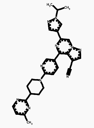 Cc1ccnc(C2CCN(c3ccc(-c4nc(-c5cnn(C(C)C)c5)cn5ncc(C#N)c45)cn3)CC2)n1